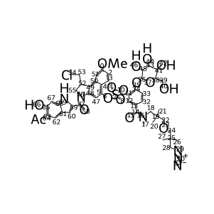 COc1ccc2c(OS(=O)(=O)Oc3cc(C(=O)N(C)CC(C)(C)COCC(C)(C)CN=[N+]=[N-])ccc3O[C@@H]3O[C@H](CO)[C@H](O)[C@H](O)[C@@H]3O)cc3c(c2c1)C(CCl)CN3C(=O)c1cc2cc(C(C)=O)c(O)cc2[nH]1